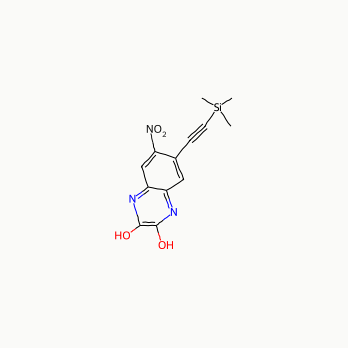 C[Si](C)(C)C#Cc1cc2nc(O)c(O)nc2cc1[N+](=O)[O-]